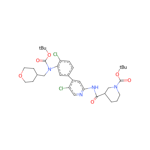 CC(C)(C)OC(=O)N1CCCC(C(=O)Nc2cc(-c3ccc(Cl)c(N(CC4CCOCC4)C(=O)OC(C)(C)C)c3)c(Cl)cn2)C1